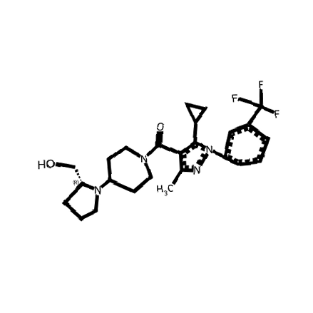 Cc1nn(-c2cccc(C(F)(F)F)c2)c(C2CC2)c1C(=O)N1CCC(N2CCC[C@@H]2CO)CC1